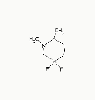 CC1CCC(F)(F)CN1C